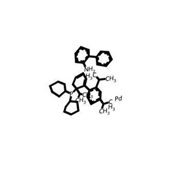 CC(C)c1ccc(C2=CC=CCC2(C(C)C)P(C2CCCCC2)C2CCCCC2)c(C(C)C)c1.Nc1ccccc1-c1ccccc1.[Pd]